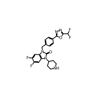 O=c1n(Cc2ccc(-c3nnc(C(F)F)o3)cc2)c2cc(F)c(F)cc2n1C1CCNCC1